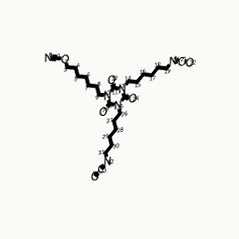 N#COCCCCCCCn1c(=O)n(CCCCCCN=C=O)c(=O)n(CCCCCCN=C=O)c1=O